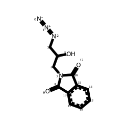 [N-]=[N+]=NCC(O)CN1C(=O)c2ccccc2C1=O